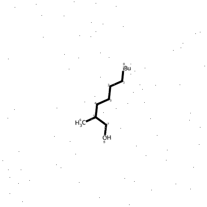 CCC(C)CCCCC(C)CO